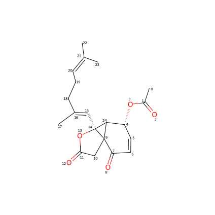 CC(=O)O[C@@H]1C=CC(=O)C23CC(=O)O[C@@]2(/C=C(\C)CCC=C(C)C)C13